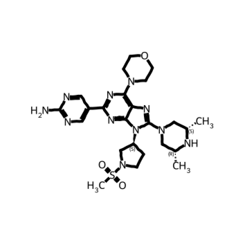 C[C@@H]1CN(c2nc3c(N4CCOCC4)nc(-c4cnc(N)nc4)nc3n2[C@H]2CCN(S(C)(=O)=O)C2)C[C@H](C)N1